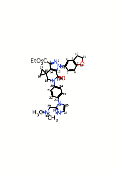 CCOC(=O)c1nn(-c2ccc3c(c2)CCO3)c2c1C1(CC1)CN(c1ccc(-n3ccnc3CN(C)C)cc1)C2=O